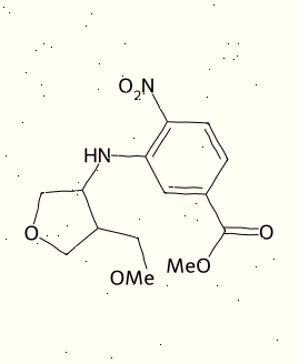 COCC1COCC1Nc1cc(C(=O)OC)ccc1[N+](=O)[O-]